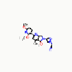 COc1ccc(-c2cc(C)c3c(n2)CN(c2cnn(CC#N)c2)C3=O)c(OC)n1